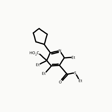 CCSC(=O)C1=C(CC)C(CC)(C(=O)O)C(C2CCCC2)=NC1CC